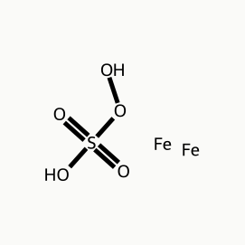 O=S(=O)(O)OO.[Fe].[Fe]